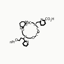 CCCOCCC(c1ccccn1)N1CCOCCOCCN(Cc2cccc(C(=O)O)n2)CCO[C@@H]2CCCC[C@H]2OCC1